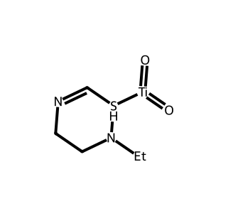 CCN1CCN=C[SH]1[Ti](=[O])=[O]